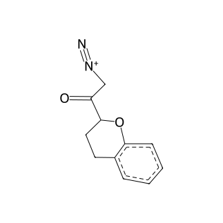 N#[N+]CC(=O)C1CCc2ccccc2O1